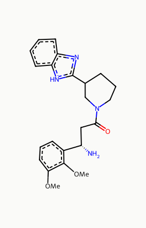 COc1cccc([C@@H](N)CC(=O)N2CCCC(c3nc4ccccc4[nH]3)C2)c1OC